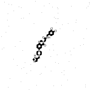 O=C(Cn1cnc2ccc(N3CCN(Cc4cnc[nH]4)CC3)cc2c1=O)NCc1ccc(Cl)c(Cl)c1